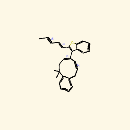 C/C=C/C=C/c1sc2ccccc2c1C1=C/CC(C)(C)c2ccccc2C/C=C\1